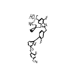 N#CCC1(Cn2c(Cc3ccc(-c4cccc(OCc5ccc(C#N)cc5F)n4)c(F)c3)nc3c(F)cc(C(=O)O)cc32)CC1